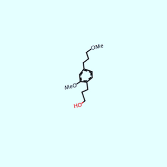 COCCCc1ccc(CCCO)c(OC)c1